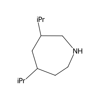 CC(C)C1CCNCC(C(C)C)C1